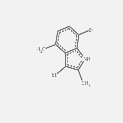 [CH2]Cc1c(C)[nH]c2c(Br)ccc(C)c12